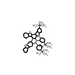 CC(C)(C)c1ccc(N2B3c4cc(C(C)(C)C)ccc4-n4c5ccc(C(C)(C)C)cc5c5c6sc7ccccc7c6c(c3c54)-c3cc4oc5ccccc5c4cc32)cc1